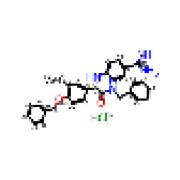 COc1cc([C@H](Nc2ccc(C(=N)N)cc2)C(=O)NCc2ccccc2)ccc1OCc1ccccc1.Cl